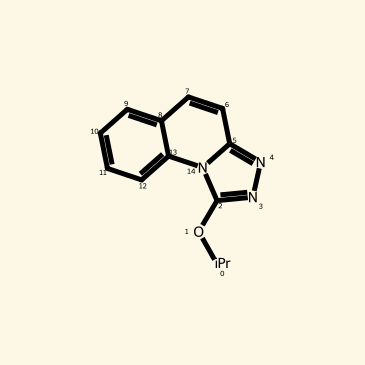 CC(C)Oc1nnc2ccc3ccccc3n12